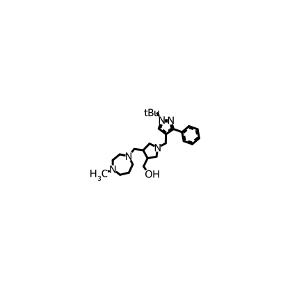 CN1CCCN(CC2CN(Cc3cn(C(C)(C)C)nc3-c3ccccc3)CC2CO)CC1